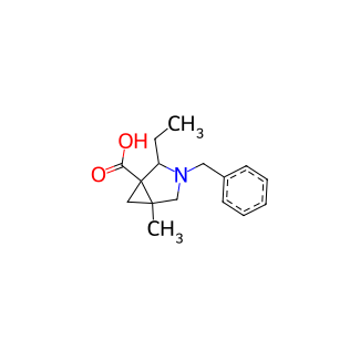 CCC1N(Cc2ccccc2)CC2(C)CC12C(=O)O